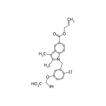 C=CCOC(=O)c1ccc2c(c1)c(C)c(C)n2Cc1cc(O[C@@H](C(=O)O)C(C)C)ccc1Cl